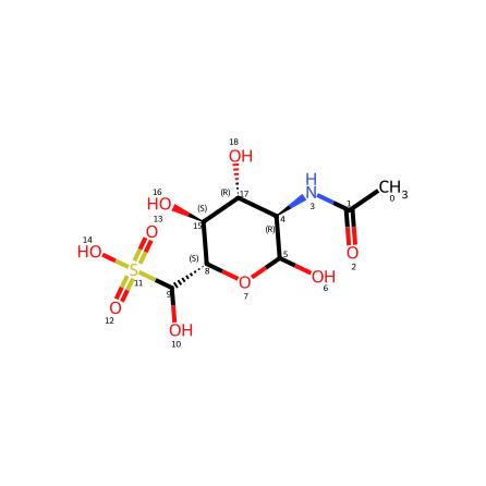 CC(=O)N[C@H]1C(O)O[C@H](C(O)S(=O)(=O)O)[C@@H](O)[C@@H]1O